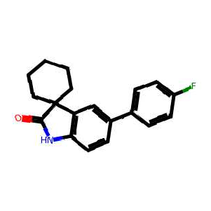 O=C1Nc2ccc(-c3ccc(F)cc3)cc2C12CCCCC2